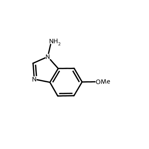 COc1ccc2ncn(N)c2c1